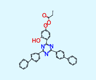 CCC(=O)OOc1ccc(-c2nc(-c3ccc(-c4ccccc4)cc3)nc(-c3ccc(-c4ccccc4)cc3)n2)c(O)c1